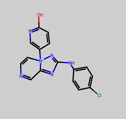 Oc1ccc([N+]23C=CN=CC2=NC(Nc2ccc(Cl)cc2)=N3)cn1